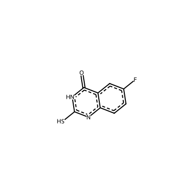 O=c1[nH]c(S)nc2ccc(F)cc12